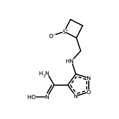 N/C(=N\O)c1nonc1NCC1CC[S+]1[O-]